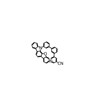 N#Cc1cncc(-c2cccc(-c3cccc(-n4c5ccccc5c5ccc6c7ccccc7oc6c54)c3)c2)c1